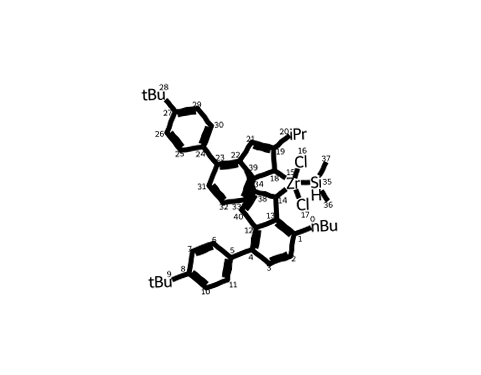 CCCCc1ccc(-c2ccc(C(C)(C)C)cc2)c2c1[CH]([Zr]([Cl])([Cl])([CH]1C(C(C)C)=Cc3c(-c4ccc(C(C)(C)C)cc4)cccc31)[SiH](C)C)C(C)=C2